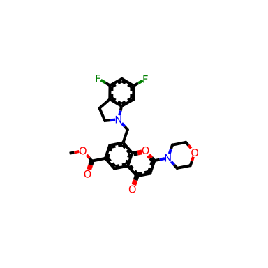 COC(=O)c1cc(CN2CCc3c(F)cc(F)cc32)c2oc(N3CCOCC3)cc(=O)c2c1